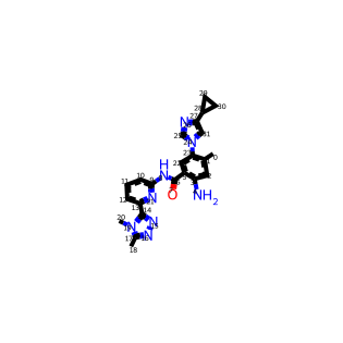 Cc1cc(N)c(C(=O)Nc2cccc(-c3nnc(C)n3C)n2)cc1-n1cnc(C2CC2)c1